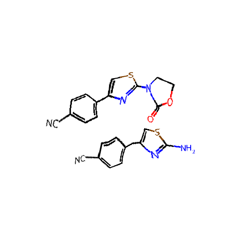 N#Cc1ccc(-c2csc(N)n2)cc1.N#Cc1ccc(-c2csc(N3CCOC3=O)n2)cc1